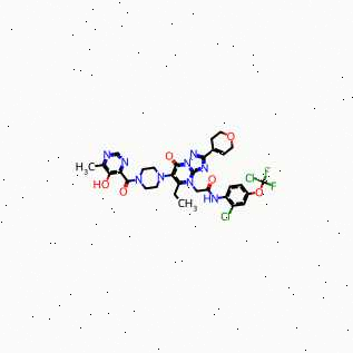 CCc1c(N2CCN(C(=O)c3ncnc(C)c3O)CC2)c(=O)n2nc(C3=CCOCC3)nc2n1CC(=O)Nc1ccc(OC(F)(F)Cl)cc1Cl